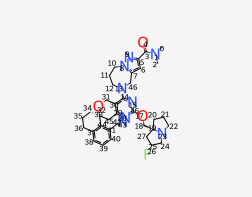 CN(C)C(=O)c1cc2n(n1)CCCN(c1nc(OC[C@@]34CCCN3C[C@H](F)C4)nc3c1CO[C@@]1(CCCc4cccc(C#N)c41)C3)C2